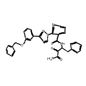 NC(=O)C(=O)C(Cc1ccccc1)NC(=O)c1cccnc1-n1ccc(-c2cccc(OCc3ccccc3)c2)n1